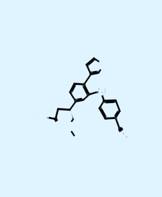 COC[C@@H](CC(=O)O)c1ccc(-c2ccoc2)c(Nc2ccc(C#N)cc2)c1